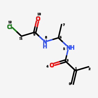 C=C(C)C(=O)NC(C)NC(=O)CCl